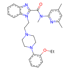 CCOc1ccccc1N1CCN(CCn2c(C(=O)N(C)c3cc(C)cc(C)n3)nc3ccccc32)CC1